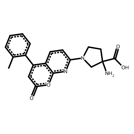 Cc1ccccc1-c1cc(=O)oc2nc(N3CCC(N)(C(=O)O)C3)ccc12